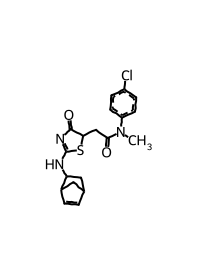 CN(C(=O)CC1SC(NC2CC3C=CC2C3)=NC1=O)c1ccc(Cl)cc1